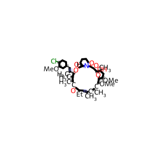 CCC1/C=C(\C)C[C@H](C)C[C@H](OC)[C@H]2O[C@@](O)(C(=O)C(=O)N3CCCC[C@H]3C(=O)O[C@H](/C(C)=C/[C@@H]3CC[C@H](Cl)[C@H](OC)C3)[C@H](C)[C@@H](C)CC1=O)[C@H](C)C[C@@H]2OC